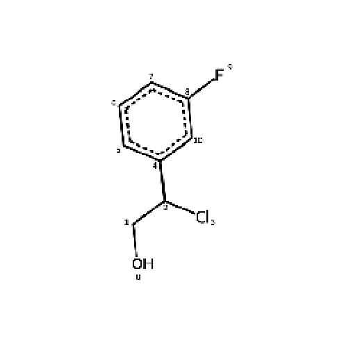 OCC(Cl)c1cccc(F)c1